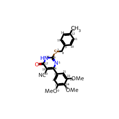 COc1cc(-c2nc(SCc3ccc(C)cc3)[nH]c(=O)c2C#N)cc(OC)c1OC